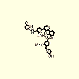 COc1cc(C(=O)Nc2cccc(-c3nccc(-c4ccc(CNC[C@@H]5CCC(=O)N5)c(OC)n4)c3Cl)c2C)ncc1CN1CC[C@@H](O)C1